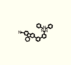 N#Cc1ccc2c(c1)C1(CCCCC1)C1CC(c3cccc(-c4cccc(-c5nc(-c6ccccc6)nc(-c6ccccc6)n5)c4)c3)=CC=C21